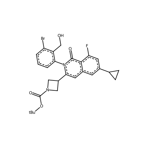 CC(C)(C)OC(=O)N1CC(c2cc3cc(C4CC4)cc(F)c3c(=O)n2-c2cccc(Br)c2CO)C1